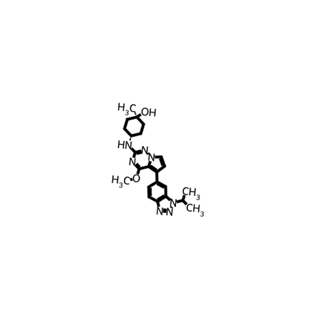 COc1nc(N[C@H]2CC[C@](C)(O)CC2)nn2ccc(-c3ccc4nnn(C(C)C)c4c3)c12